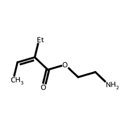 CC=C(CC)C(=O)OCCN